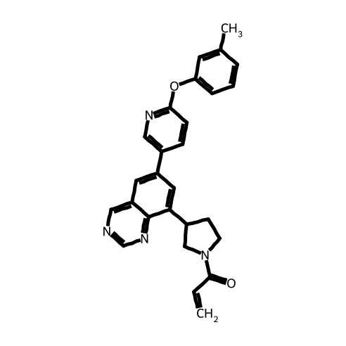 C=CC(=O)N1CCC(c2cc(-c3ccc(Oc4cccc(C)c4)nc3)cc3cncnc23)C1